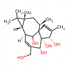 CC(=O)O[C@@]12C[C@@H](C)[C@]34C=C(C)[C@H](O)[C@@]3(O)[C@H](O)C(CO)=C[C@H](C4O)[C@@H]1C2(C)C